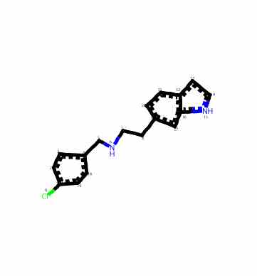 Clc1ccc(CNCCc2ccc3cc[nH]c3c2)cc1